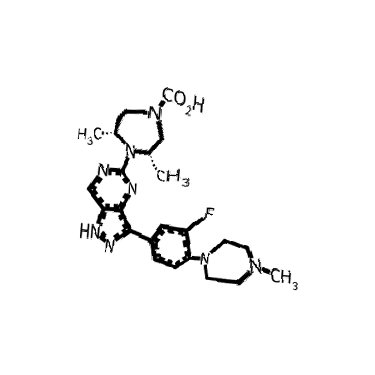 C[C@@H]1CN(C(=O)O)C[C@H](C)N1c1ncc2[nH]nc(-c3ccc(N4CCN(C)CC4)c(F)c3)c2n1